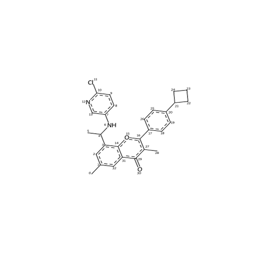 Cc1cc(C(C)Nc2ccc(Cl)nc2)c2oc(-c3ccc(C4CCC4)cc3)c(C)c(=O)c2c1